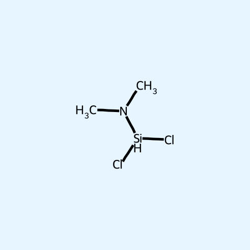 CN(C)[SiH](Cl)Cl